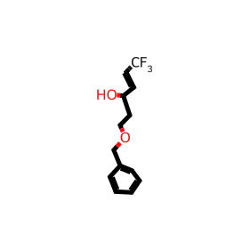 OC(/C=C/C(F)(F)F)CCOCc1ccccc1